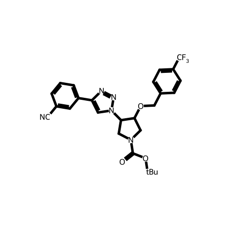 CC(C)(C)OC(=O)N1CC(OCc2ccc(C(F)(F)F)cc2)C(n2cc(-c3cccc(C#N)c3)nn2)C1